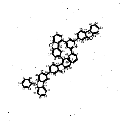 c1ccc(-c2cc(-c3cccc4oc5ccc(-c6cccc7oc8cc(-c9ccc%10c(c9)c9ccccc9n%10-c9ccccc9)ccc8c67)cc5c34)cc(-c3ccc4c(c3)oc3ccccc34)n2)cc1